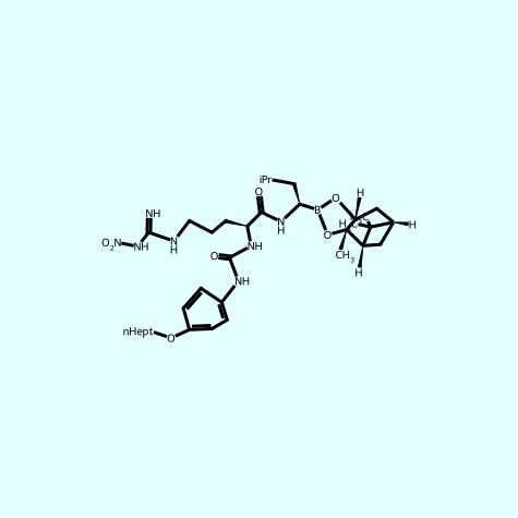 CCCCCCCOc1ccc(NC(=O)N[C@@H](CCCNC(=N)N[N+](=O)[O-])C(=O)N[C@@H](CC(C)C)B2O[C@@H]3C[C@@H]4C[C@@H](C4(C)C)[C@]3(C)O2)cc1